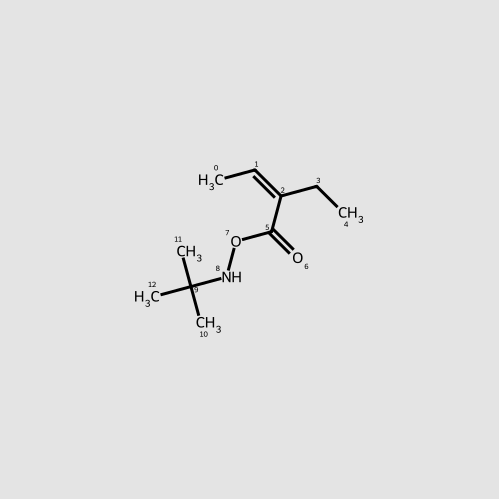 CC=C(CC)C(=O)ONC(C)(C)C